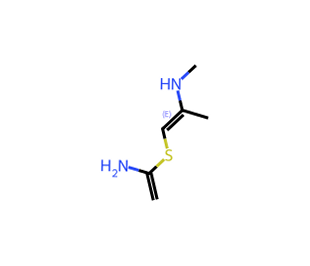 C=C(N)S/C=C(\C)NC